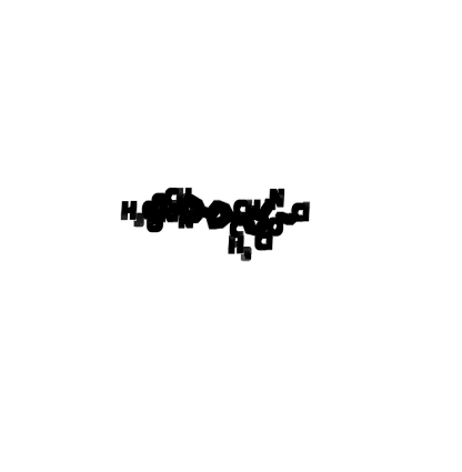 CC(NS(C)(=O)=O)c1ccc(-c2ccc(C(C)(C)c3cc(Cl)c(OCCCl)c(C#N)c3)cc2)cn1